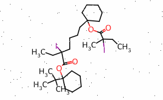 CCC(C)(I)C(=O)OC1(CCCCC(I)(CC)C(=O)OC2(C(C)(C)C)CCCCC2)CCCCC1